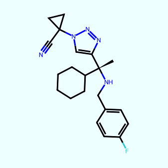 C[C@](NCc1ccc(F)cc1)(c1cn(C2(C#N)CC2)nn1)C1CCCCC1